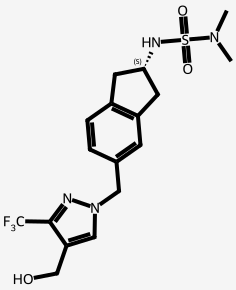 CN(C)S(=O)(=O)N[C@H]1Cc2ccc(Cn3cc(CO)c(C(F)(F)F)n3)cc2C1